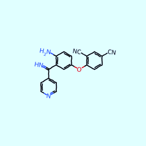 N#Cc1ccc(Oc2ccc(N)c(C(=N)c3ccncc3)c2)c(C#N)c1